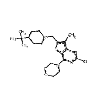 Cc1c(CN2CCC(C(C)(C)O)CC2)sc2c(N3CCOCC3)nc(Cl)nc12